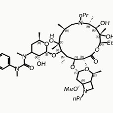 CCCN1C[C@H](C)C[C@@](C)(O)[C@H](O[C@@H]2O[C@H](C)CC(N(C)C(=O)N(C)c3ccccc3)[C@H]2O)[C@@H](C)[C@H](O[C@H]2C[C@@]3(OC)C(CN3CCC)[C@H](C)O2)[C@@H](C)C(=O)O[C@H](CC)[C@@](C)(O)[C@H](O)[C@H]1C